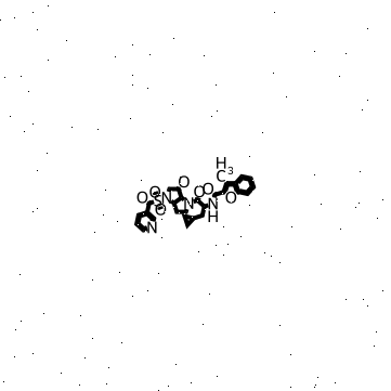 Cc1c(C(=O)NC(CC2CC2)C(=O)N2CCC3C2C(=O)CN3S(=O)(=O)C(=O)c2cccnc2)oc2ccccc12